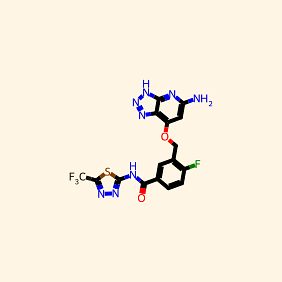 Nc1cc(OCc2cc(C(=O)Nc3nnc(C(F)(F)F)s3)ccc2F)c2nn[nH]c2n1